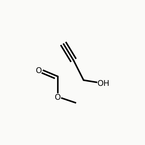 C#CCO.COC=O